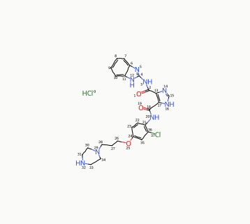 Cl.O=C(Nc1nc2ccccc2[nH]1)c1nc[nH]c1C(=O)Nc1ccc(OCCCN2CCNCC2)cc1Cl